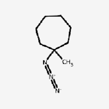 CC1(N=[N+]=[N-])CCCCCC1